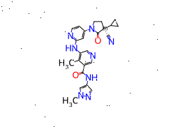 Cc1c(Nc2cc(N3CC[C@@](C#N)(C4CC4)C3=O)ccn2)cncc1C(=O)Nc1cnn(C)c1